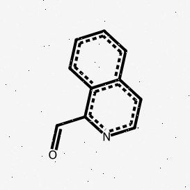 O=Cc1n[c]cc2ccccc12